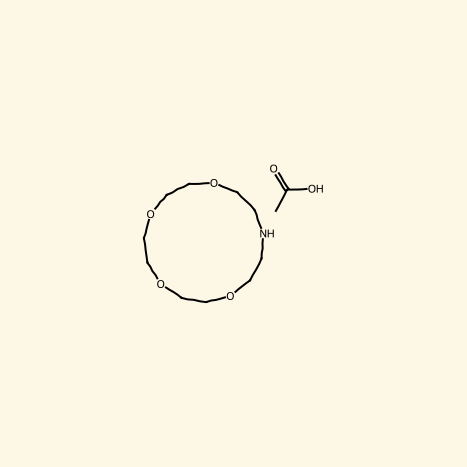 C1COCCOCCOCCOCCN1.CC(=O)O